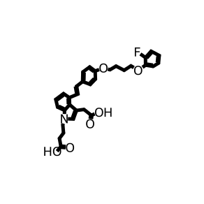 O=C(O)CCCn1cc(CC(=O)O)c2c(/C=C/c3ccc(OCCCCOc4ccccc4F)cc3)cccc21